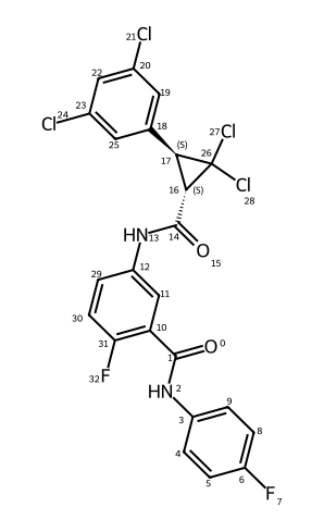 O=C(Nc1ccc(F)cc1)c1cc(NC(=O)[C@@H]2[C@@H](c3cc(Cl)cc(Cl)c3)C2(Cl)Cl)ccc1F